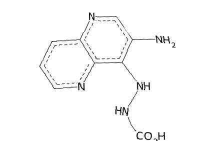 Nc1cnc2cccnc2c1NNC(=O)O